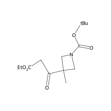 CCOC(=O)CC(=O)C1(C)CN(C(=O)OC(C)(C)C)C1